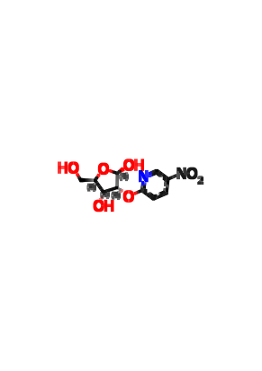 O=[N+]([O-])c1ccc(O[C@@H]2[C@H](O)[C@@H](CO)O[C@H]2O)nc1